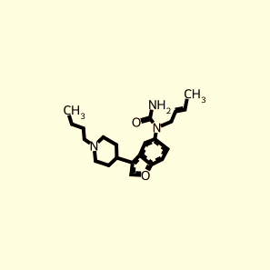 CC=CCN(C(N)=O)c1ccc2occ(C3CCN(CCCC)CC3)c2c1